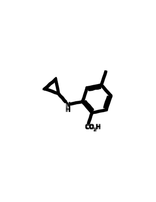 Cc1ccc(C(=O)O)c(NC2CC2)c1